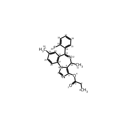 CCC(=O)Oc1ncn2c1C(C)N=C(c1ccccc1F)c1cc(C)ccc1-2